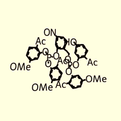 COc1ccc(C(C)=O)c(OP(OCc2ccc(N=O)cc2OP(Oc2cc(OC)ccc2C(C)=O)Oc2cc(OC)ccc2C(C)=O)Oc2cc(O)ccc2C(C)=O)c1